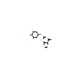 COc1cc(N(C)c2nc(=O)c3[nH]cnc3[nH]2)cc(OC)c1OC